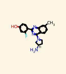 Cc1ccc2c(N3CC[C@@H](N)C3)nc(-c3ccc(O)cc3F)nc2c1